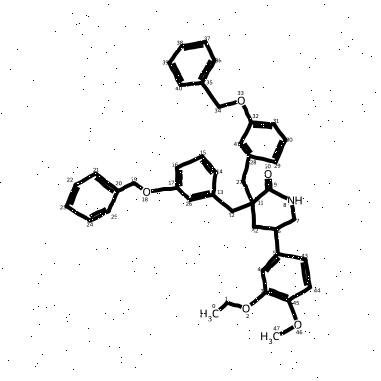 CCOc1cc(C2CNC(=O)C(Cc3cccc(OCc4ccccc4)c3)(Cc3cccc(OCc4ccccc4)c3)C2)ccc1OC